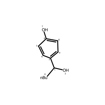 CCCCC(O)c1ccc(O)cc1